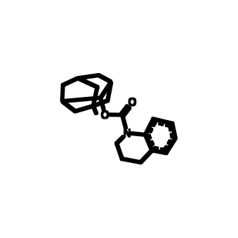 CC12CC3CC(C1)C(OC(=O)N1CCCc4ccccc41)C(C3)C2